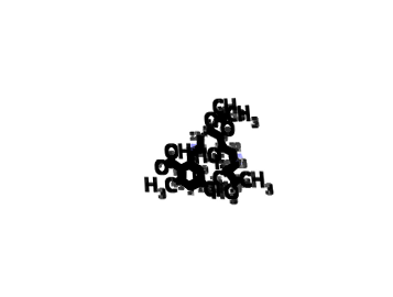 Cc1cc(C)c(C(=O)O)c(/C=C/C[C@@H]2OC(C)(C)OC2C(O)/C=C\C(C)(F)C(C)O)c1